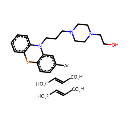 CC(=O)c1ccc2c(c1)N(CCCN1CCN(CCO)CC1)c1ccccc1S2.O=C(O)C=CC(=O)O.O=C(O)C=CC(=O)O